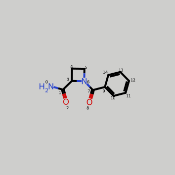 NC(=O)C1CCN1C(=O)c1ccccc1